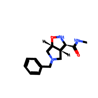 CNC(=O)[C@H]1NO[C@@H]2CN(Cc3ccccc3)C[C@H]12